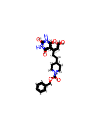 O=C(OCc1ccccc1)N1CCC(CCc2cc(=O)oc3[nH]c(=O)[nH]c(=O)c23)CC1